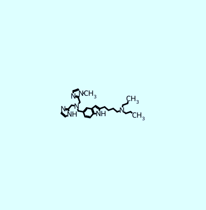 CCCN(CCC)CCCCc1cc2cc(CN(Cc3ncc[nH]3)Cc3nccn3C)ccc2[nH]1